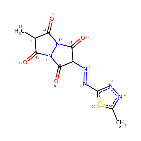 Cc1nnc(/N=N/C2C(=O)N3C(=O)C(C)C(=O)N3C2=O)s1